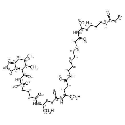 CC(CC(=O)NS(=O)(=O)CCCC(=O)NC(CCC(=O)NC(CCC(=O)NCCOCCOCC(=O)NC(CCCCNC(=O)CBr)C(=O)O)C(=O)O)C(=O)O)C(C)Cc1nnn[nH]1